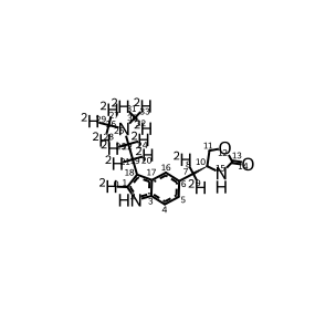 [2H]c1[nH]c2ccc(C([2H])([2H])[C@H]3COC(=O)N3)cc2c1C([2H])([2H])C([2H])([2H])N(C([2H])([2H])[2H])C([2H])([2H])[2H]